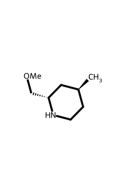 COC[C@@H]1C[C@@H](C)CCN1